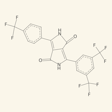 O=C1NC(c2cc(C(F)(F)F)cc(C(F)(F)F)c2)=C2C(=O)NC(c3ccc(C(F)(F)F)cc3)=C12